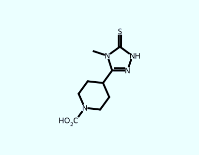 Cn1c(C2CCN(C(=O)O)CC2)n[nH]c1=S